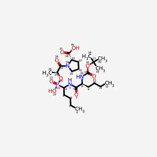 CCCCC(NC(=O)[C@H](CCCC)NC(=O)OC(C)(C)C)P(=O)(O)O[C@@H](C)C(=O)N1CCC[C@H]1C(=O)O